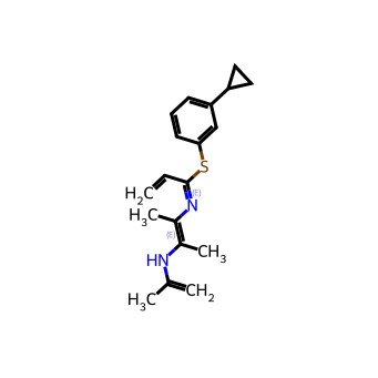 C=C/C(=N\C(C)=C(/C)NC(=C)C)Sc1cccc(C2CC2)c1